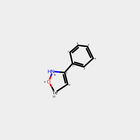 C1=C(c2ccccc2)NO[Te]1